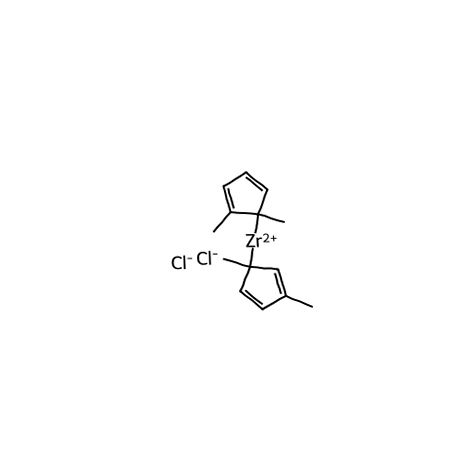 CC1=C[C](C)([Zr+2][C]2(C)C=CC=C2C)C=C1.[Cl-].[Cl-]